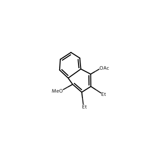 CCc1c(CC)c(OC(C)=O)c2ccccc2c1OC